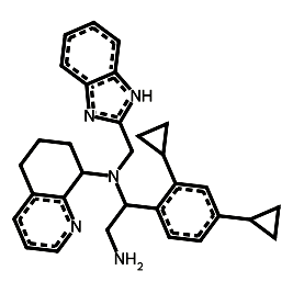 NCC(c1ccc(C2CC2)cc1C1CC1)N(Cc1nc2ccccc2[nH]1)C1CCCc2cccnc21